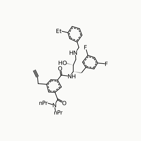 C#CCc1cc(C(=O)N[C@@H](Cc2cc(F)cc(F)c2)[C@H](O)CNCc2cccc(CC)c2)cc(C(=O)N(CCC)CCC)c1